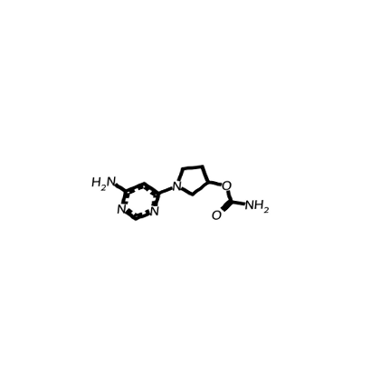 NC(=O)OC1CCN(c2cc(N)ncn2)C1